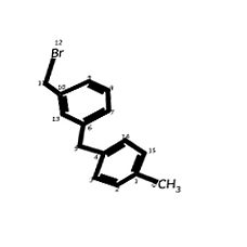 Cc1ccc(Cc2cccc(CBr)c2)cc1